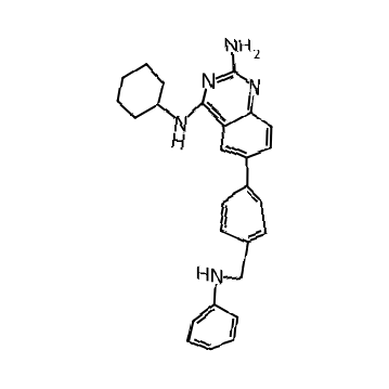 Nc1nc(NC2CCCCC2)c2cc(-c3ccc(CNc4ccccc4)cc3)ccc2n1